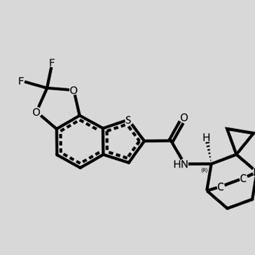 O=C(N[C@@H]1C2CCN(CC2)C12CC2)c1cc2ccc3c(c2s1)OC(F)(F)O3